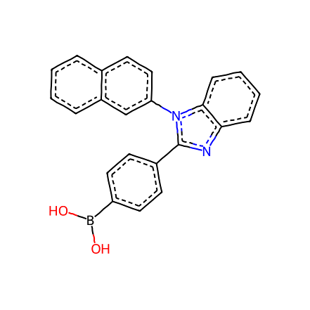 OB(O)c1ccc(-c2nc3ccccc3n2-c2ccc3ccccc3c2)cc1